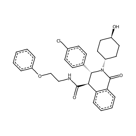 O=C(NCCOc1ccccc1)[C@@H]1c2ccccc2C(=O)N([C@H]2CC[C@H](O)CC2)[C@H]1c1ccc(Cl)cc1